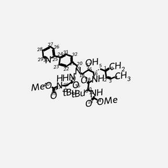 C=C(/C=C\C)C[C@H](NC(=O)[C@@H](NC(=O)OC)C(C)(C)C)[C@@H](O)CN(Cc1ccc(-c2ccccn2)cc1)NC(=O)[C@@H](NC(=O)OC)C(C)(C)C